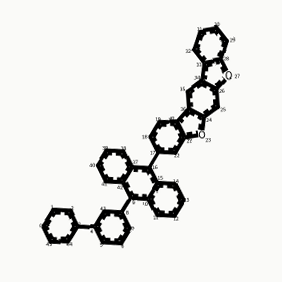 c1ccc(-c2cccc(-c3c4ccccc4c(-c4ccc5c(c4)oc4cc6oc7ccccc7c6cc45)c4ccccc34)c2)cc1